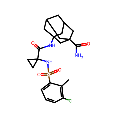 Cc1c(Cl)cccc1S(=O)(=O)NC1(C(=O)NC23CC4CC(C2)CC(C(N)=O)(C4)C3)CC1